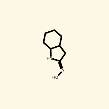 ON=C1CC2CCCCC2N1